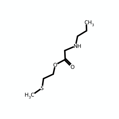 CCCNCC(=O)OCCSC